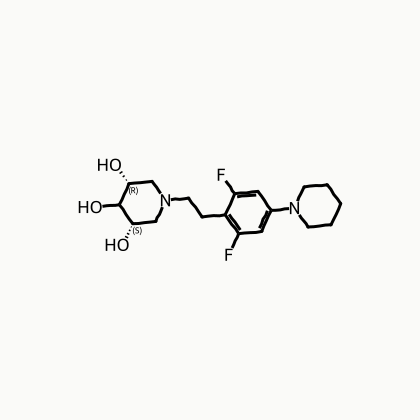 OC1[C@H](O)CN(CCc2c(F)cc(N3CCCCC3)cc2F)C[C@@H]1O